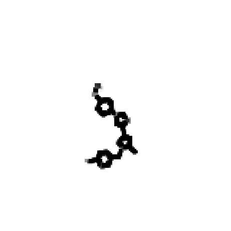 Cc1cc(-c2cn(-c3ccc(OC(F)(F)F)cc3)cn2)cn1Cc1ccc(Cl)nc1